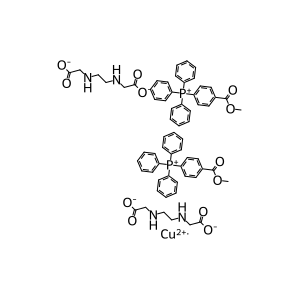 COC(=O)c1ccc([P+](c2ccccc2)(c2ccccc2)c2ccccc2)cc1.COC(=O)c1ccc([P+](c2ccccc2)(c2ccccc2)c2ccccc2)cc1.O=C([O-])CNCCNCC(=O)[O-].O=C([O-])CNCCNCC(=O)[O-].[Cu+2]